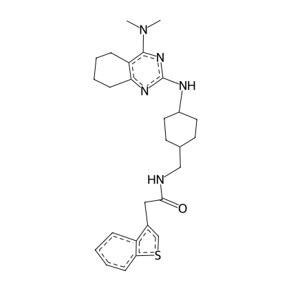 CN(C)c1nc(NC2CCC(CNC(=O)Cc3csc4ccccc34)CC2)nc2c1CCCC2